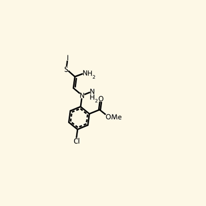 COC(=O)c1cc(Cl)ccc1N(N)/C=C(\N)SI